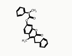 Cc1c(Cc2ccccc2)c(=O)oc2cc(OC(=O)N(C)c3ccccc3)ccc12